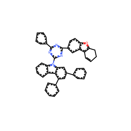 C1=Cc2c(oc3ccc(-c4nc(-c5ccccc5)nc(-n5c6ccccc6c6c(-c7ccccc7)cc(-c7ccccc7)cc65)n4)cc23)CC1